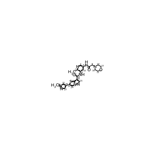 Cc1ncc(NC(=O)CN2CCOCC2)cc1NC(=O)c1cnn2cc(-c3cnn(C)c3)sc12